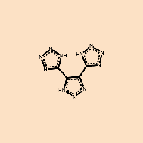 n1n[nH]c(-c2nn[nH]c2-c2nnn[nH]2)n1